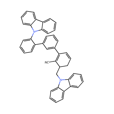 N#CC1=C(c2cccc(-c3ccccc3-n3c4ccccc4c4ccccc43)c2)C=CCC1Cn1c2ccccc2c2ccccc21